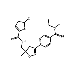 CCN(C)C(=N)c1ccc(C2=NOC(C)(CNC(=O)C3=CCC(Cl)S3)C2)cc1